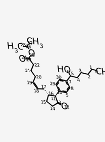 CCCCCC(O)c1ccc([C@H]2C(=O)CC[C@@H]2C/C=C\CCCC(=O)OC(C)C)cc1